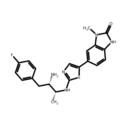 C[C@@H](Nc1ncc(-c2ccc3[nH]c(=O)n(C)c3c2)s1)[C@@H](N)Cc1ccc(F)cc1